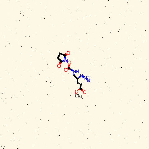 CC(C)(C)OC(=O)CCC(CNC(=O)ON1C(=O)CCC1=O)N=[N+]=[N-]